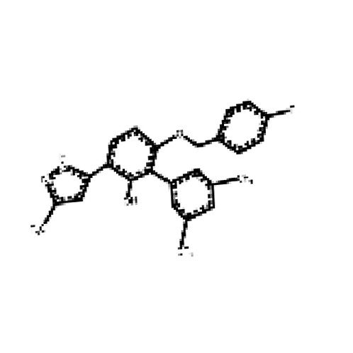 Oc1c(-c2cc(C(F)(F)F)n[nH]2)ccc(OCc2ccc(F)cc2)c1-c1cc(C(F)(F)F)cc(C(F)(F)F)c1